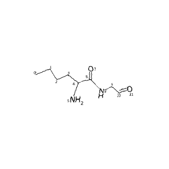 CCCCC(N)C(=O)NCC=O